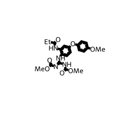 CCC(=O)Nc1cc(Oc2ccc(OC)cc2)ccc1NC(=NC(=O)OC)NC(=O)OC